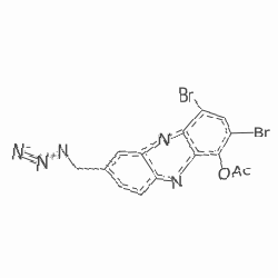 CC(=O)Oc1c(Br)cc(Br)c2nc3cc(CN=[N+]=[N-])ccc3nc12